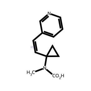 CN(C(=O)O)C1(/C=C\c2cccnc2)CC1